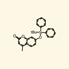 Cc1cc(=O)oc2cc(O[Si](c3ccccc3)(c3ccccc3)C(C)(C)C)ccc12